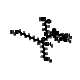 CCCCCCCCCCC[C@@H](OC[C@H](COP(=O)([O-])OCC[N+](C)(C)C)OCCCCC(=O)O)C(C)CCCCCC